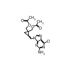 CC(=O)OCC1(COC(C)=O)CC1=Cn1cnc2c(Cl)nc(N)nc21